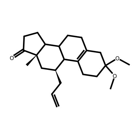 C=CC[C@H]1C[C@]2(C)C(=O)CCC2C2CCC3=C(CCC(OC)(OC)C3)C21